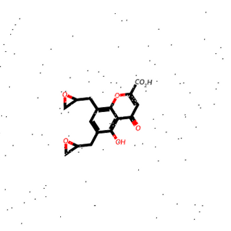 O=C(O)c1cc(=O)c2c(O)c(CC3CO3)cc(CC3CO3)c2o1